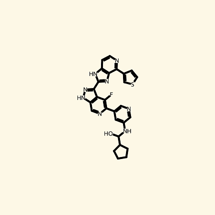 OC(Nc1cncc(-c2ncc3[nH]nc(-c4nc5c(-c6ccsc6)nccc5[nH]4)c3c2F)c1)C1CCCC1